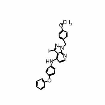 COc1ccc(Cn2nc(I)c3c(Nc4ccc(Oc5ccccc5)cc4)ccnc32)cc1